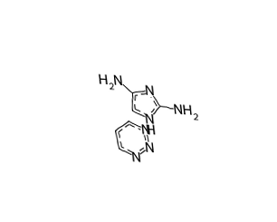 Nc1c[nH]c(N)n1.c1cnnnc1